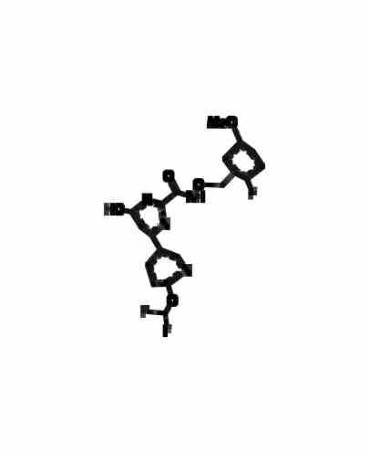 COc1ccc(F)c(CONC(=O)c2nc(O)cc(-c3ccc(OC(F)F)nc3)n2)c1